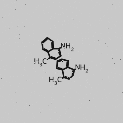 Cc1ccc(N)c2ccccc12.Cc1ccc(N)c2ccccc12